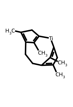 CC1=C2CCC3=C(C)C[C](=C3C)[Ti][C](=C2C)C1